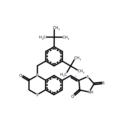 CC(C)(C)c1cc(CN2C(=O)CSc3ccc(/C=C4/SC(=S)NC4=O)cc32)cc(C(C)(C)C)c1